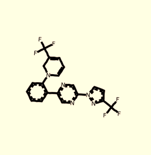 FC(F)(F)C1=CC=CN(c2ccccc2-c2cnc(-n3ccc(C(F)(F)F)n3)cn2)C1